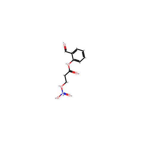 O=Cc1ccccc1OC(=O)CCO[N+](=O)[O-]